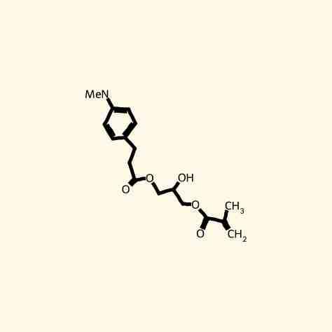 C=C(C)C(=O)OCC(O)COC(=O)CCc1ccc(NC)cc1